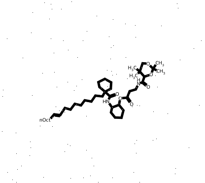 CCCCCCCCC=CCCCCCCCCC1(C(=O)NC2CCCCC2OC(=O)CCNC(=O)C2OC(C)(C)OCC2(C)C)CCCCC1